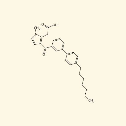 CCCCCCCc1ccc(-c2cccc(C(=O)c3ccn(C)c3CC(=O)O)c2)cc1